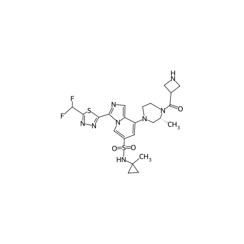 C[C@@H]1CN(c2cc(S(=O)(=O)NC3(C)CC3)cn3c(-c4nnc(C(F)F)s4)ncc23)CCN1C(=O)C1CNC1